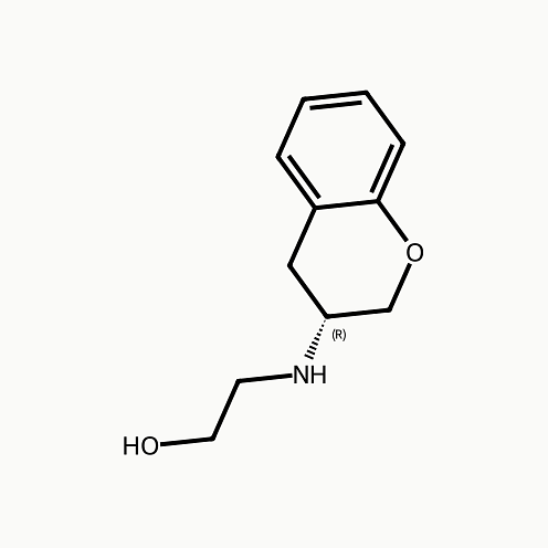 OCCN[C@H]1COc2ccccc2C1